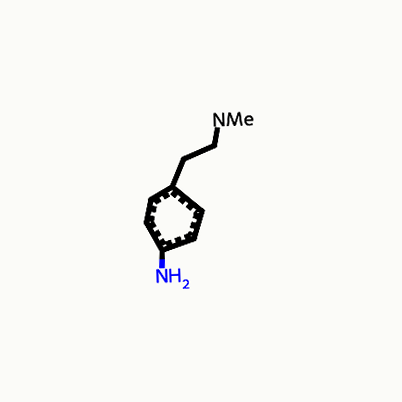 CNCCc1ccc(N)cc1